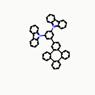 c1ccc2c(c1)-c1ccccc1-c1ccc(-c3cc(-n4c5ccccc5c5ccccc54)cc(-n4c5ccccc5c5ccccc54)c3)cc1-c1ccccc1-2